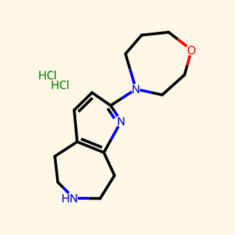 Cl.Cl.c1cc2c(nc1N1CCCOCC1)CCNCC2